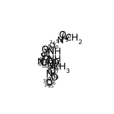 C=CC(=O)[N+]#C[C@H]1CC[C@@H](NC(=O)c2sc3nccc4c3c2NC(=O)N4c2cnc(Oc3ccccc3)cc2C)C1